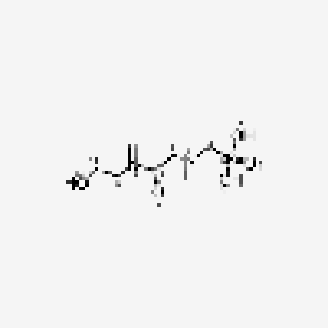 O=C(CNCP(=O)(O)O)NCCO